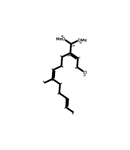 CC=CCCC(C)=CCCC(=CCCl)C(OC)OC